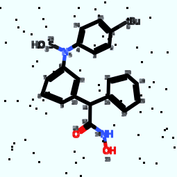 CC(C)(C)c1ccc(N(c2cccc(C(C(=O)NO)c3ccccc3)c2)S(=O)(=O)O)cc1